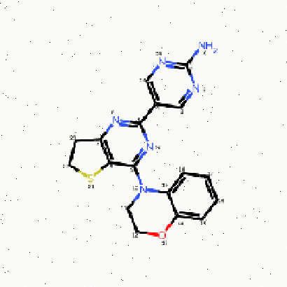 Nc1ncc(-c2nc3c(c(N4CCOc5ccccc54)n2)SCC3)cn1